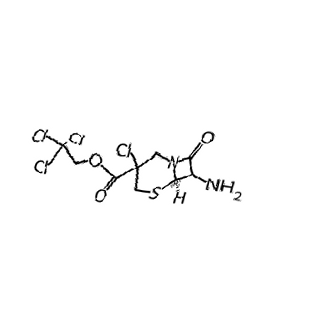 NC1C(=O)N2CC(Cl)(C(=O)OCC(Cl)(Cl)Cl)CS[C@H]12